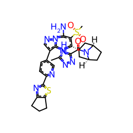 Cc1nnc(C(=O)N2[C@@H]3CC[C@H]2C[C@H](c2nc4c(-c5ccc(-c6nc7c(s6)CCC7)nc5)cnn4c(N)c2S(C)(=O)=O)C3)[nH]1